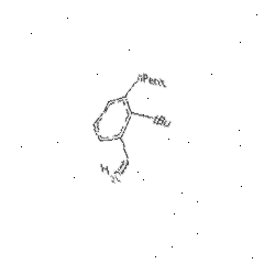 C=Cc1cccc(CCCCC)c1C(C)(C)C